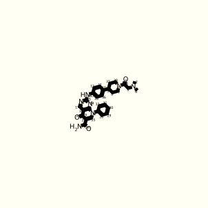 CN(C)CC(=O)N1CCC(c2ccc(Nc3ncc4c(=O)c(C(N)=O)cn(-c5ccccc5)c4n3)cc2)CC1